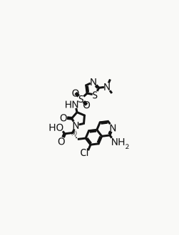 CN(C)c1ncc(S(=O)(=O)NC2CCN([C@H](Cc3cc4ccnc(N)c4cc3Cl)C(=O)O)C2=O)s1